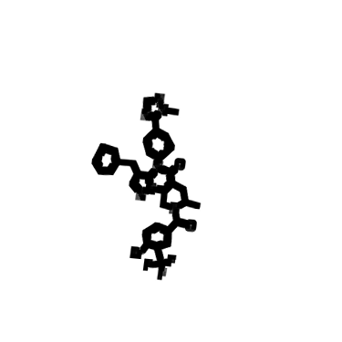 CC1Cc2c(n3ncc(Cc4ccccc4)c3n(-c3ccc(-c4ncnn4C)cc3)c2=O)CN1C(=O)c1ccc(Br)c(C(F)(F)F)c1